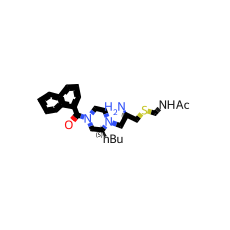 CCCC[C@H]1CN(C(=O)c2cccc3ccccc23)CCN1C[C@@H](N)CSCNC(C)=O